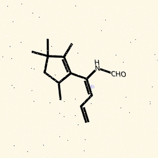 C=C/C=C(/NC=O)C1=C(C)C(C)(C)CC1C